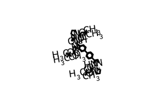 CC(C)(C)OC(=O)N1CCC[C@H]1C(=O)Nc1nn(C(=O)OC(C)(C)C)c2cc(-c3ccc(-c4cnc([C@@H]5CCCN5C(=O)OC(C)(C)C)[nH]4)cc3)ccc12